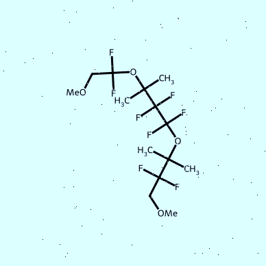 COCC(F)(F)OC(C)(C)C(F)(F)C(F)(F)OC(C)(C)C(F)(F)COC